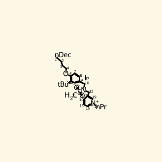 CCCCCCCCCCCCCCOc1ccc(CN(Cc2ccc[n+](CCC)c2)S(C)(=O)=O)cc1C(C)(C)C.[I-]